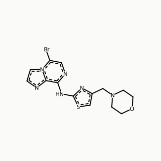 Brc1cnc(Nc2nc(CN3CCOCC3)cs2)c2nccn12